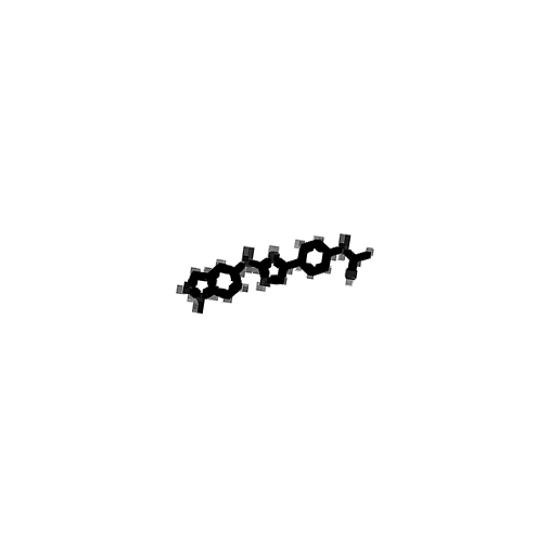 CC(=O)Nc1ccc(-c2cnc(Nc3ccc4[nH]ncc4c3)o2)cc1